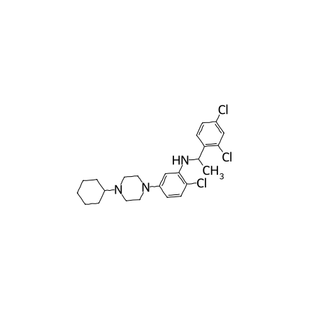 CC(Nc1cc(N2CCN(C3CCCCC3)CC2)ccc1Cl)c1ccc(Cl)cc1Cl